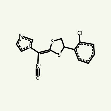 [C-]#[N+]/C(=C1/SCC(c2ccccc2Cl)S1)n1ccnc1